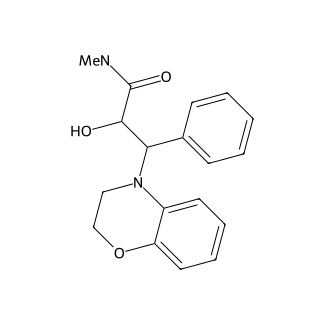 CNC(=O)C(O)C(c1ccccc1)N1CCOc2ccccc21